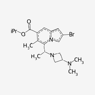 Cc1c(C(=O)OC(C)C)cc2cc(Br)cn2c1C(C)N1CC(N(C)C)C1